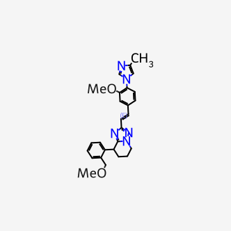 COCc1ccccc1C1CCCn2nc(/C=C/c3ccc(-n4cnc(C)c4)c(OC)c3)nc21